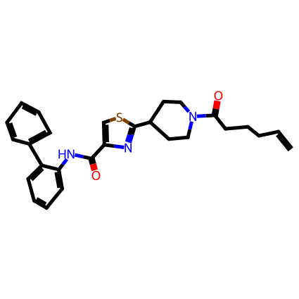 C=CCCCC(=O)N1CCC(c2nc(C(=O)Nc3ccccc3-c3ccccc3)cs2)CC1